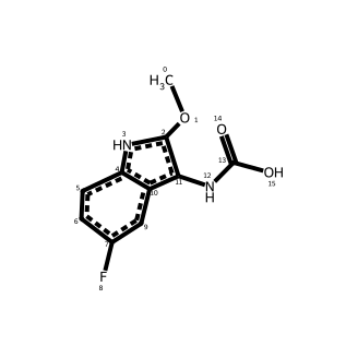 COc1[nH]c2ccc(F)cc2c1NC(=O)O